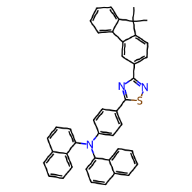 CC1(C)c2ccccc2-c2cc(-c3nsc(-c4ccc(N(c5cccc6ccccc56)c5cccc6ccccc56)cc4)n3)ccc21